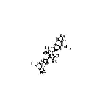 CCN1C(=O)C2=C(c3ccc(N(C)c4ccccc4)cc3)N(CC)C(=O)C2=C1c1ccc(N(C)c2ccccc2)cc1